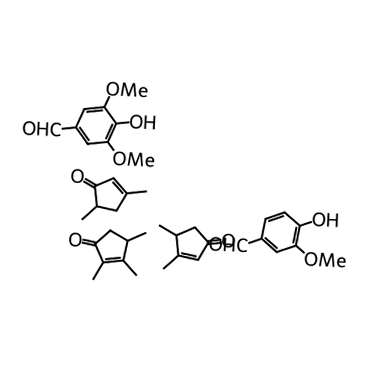 CC1=C(C)C(C)CC1=O.CC1=CC(=O)C(C)C1.CC1=CC(=O)CC1C.COc1cc(C=O)cc(OC)c1O.COc1cc(C=O)ccc1O